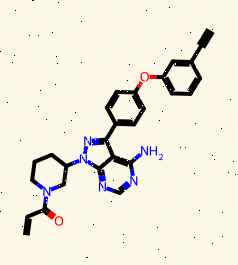 C#Cc1cccc(Oc2ccc(-c3nn(C4CCCN(C(=O)C=C)C4)c4ncnc(N)c34)cc2)c1